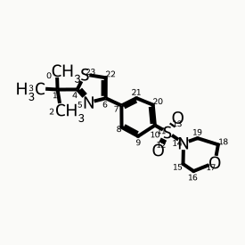 CC(C)(C)c1nc(-c2ccc(S(=O)(=O)N3CCOCC3)cc2)cs1